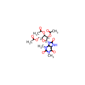 CC(=O)OC[C@H]1O[C@@H](n2c(=O)[nH]c3c(=O)n(C)c(=O)n(C)c32)[C@H](OC(C)=O)[C@@H]1OC(C)=O